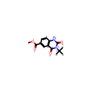 COC(=O)c1ccc2[nH]c(=O)n(C(C)(C)C)c(=O)c2c1